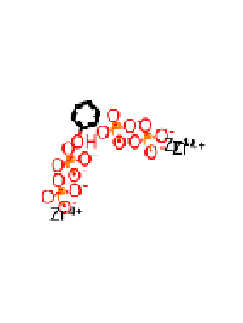 O=P([O-])([O-])[O-].O=P([O-])([O-])[O-].O=P([O-])([O-])[O-].O=P([O-])([O-])[O-].Oc1ccccc1.[Zr+4].[Zr+4].[Zr+4]